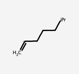 C=[C]CCCC(C)C